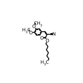 CCCCCCCOC(=O)C(C#N)=Cc1ccc(OC)c(OC)c1